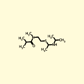 CC(C)NC(C)SCCN(C)C(=O)C(C)C